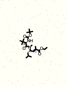 CCOC(=O)/C(C)=C/[C@H](CC(C)C)N(C)C(=O)[C@@H](NC(=O)OC(C)(C)C)C(C)(C)C